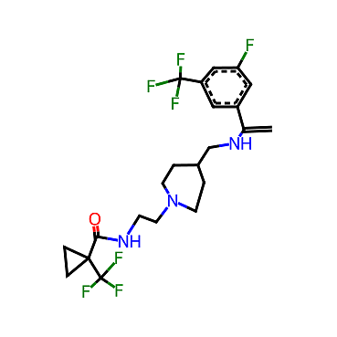 C=C(NCC1CCN(CCNC(=O)C2(C(F)(F)F)CC2)CC1)c1cc(F)cc(C(F)(F)F)c1